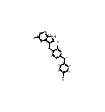 Cc1cnc2[nH]cc(Cc3ccc([CH]c4ccc(F)cn4)nc3F)c2c1